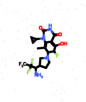 CC1=c2c(c(=O)[nH]c(=O)n2C2CC2)=C(O)C(F)C1N1CCC(C(N)C(F)(F)C(F)(F)F)C1